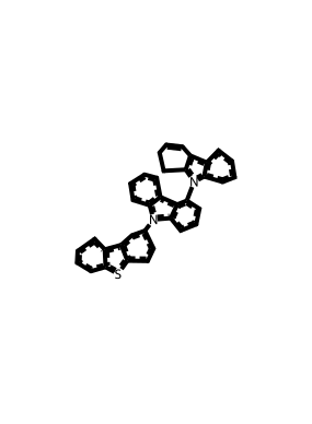 C1=Cc2c(n(-c3cccc4c3c3ccccc3n4-c3ccc4sc5ccccc5c4c3)c3ccccc23)CC1